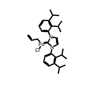 C=C[CH2][Pd]([Cl])=[c]1n(-c2cccc(C(C)C)c2C(C)C)ccn1-c1cccc(C(C)C)c1C(C)C